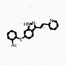 CC(=O)c1ccccc1Sc1ccc2c(/C=C/c3ccccn3)n[nH]c2c1